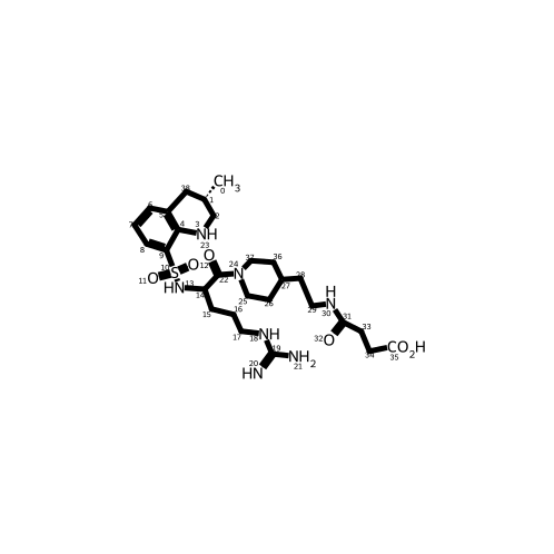 C[C@@H]1CNc2c(cccc2S(=O)(=O)NC(CCCNC(=N)N)C(=O)N2CCC(CCNC(=O)CCC(=O)O)CC2)C1